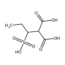 CCC(C(C(=O)O)C(=O)O)S(=O)(=O)O